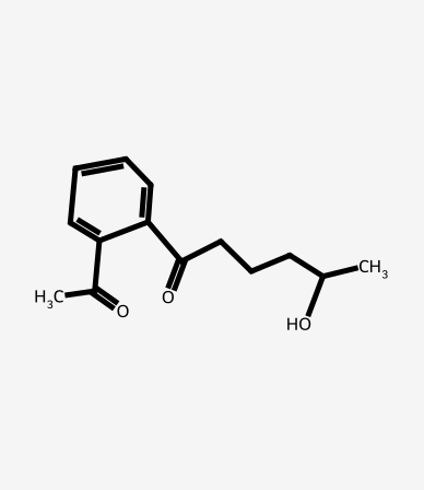 CC(=O)c1ccccc1C(=O)CCCC(C)O